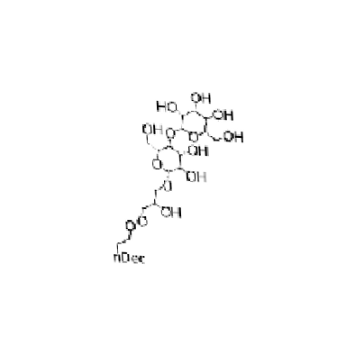 CCCCCCCCCCCCOOCC(O)CO[C@@H]1O[C@H](CO)[C@@H](O[C@@H]2O[C@H](CO)[C@H](O)[C@H](O)[C@H]2O)[C@H](O)[C@H]1O